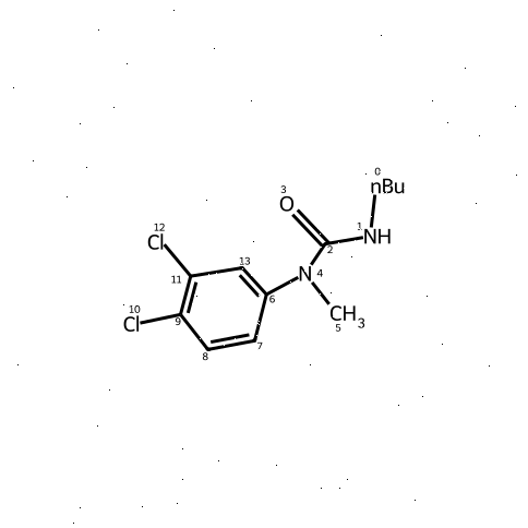 CCCCNC(=O)N(C)c1ccc(Cl)c(Cl)c1